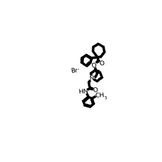 Cc1ccccc1NC(=O)C[N+]12CCC(CC1)C(OC(=O)C1(c3ccccc3)CCCCCC1)C2.[Br-]